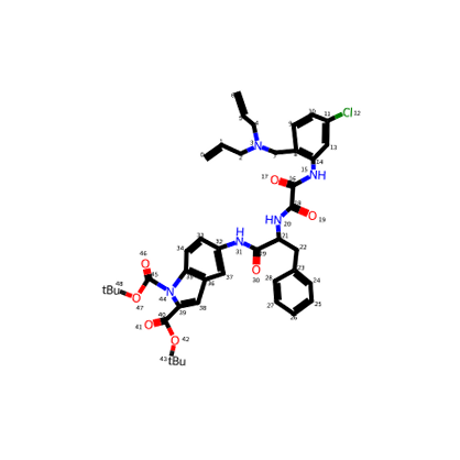 C=CCN(CC=C)Cc1ccc(Cl)cc1NC(=O)C(=O)NC(Cc1ccccc1)C(=O)Nc1ccc2c(c1)cc(C(=O)OC(C)(C)C)n2C(=O)OC(C)(C)C